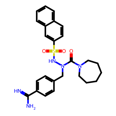 N=C(N)c1ccc(CN(NS(=O)(=O)c2ccc3ccccc3c2)C(=O)N2CCCCCC2)cc1